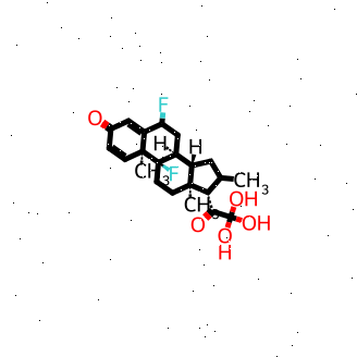 CC1C[C@H]2[C@@H]3CC(F)C4=CC(=O)C=C[C@]4(C)[C@@]3(F)CC[C@]2(C)[C@H]1C(=O)C(O)(O)O